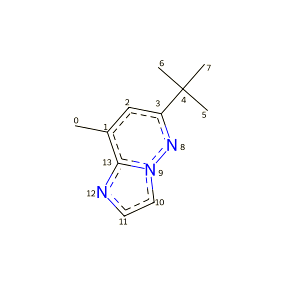 Cc1cc(C(C)(C)C)nn2ccnc12